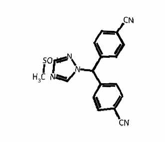 CS(=O)(=O)O.N#Cc1ccc(C(c2ccc(C#N)cc2)n2cncn2)cc1